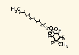 CCCCCCCCCCCCOS(=O)(=O)c1c(F)c(F)c(C)c(F)c1F